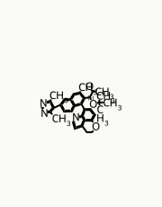 CC(=O)[C@@H](OC(C)(C)C)c1c(C)cc2cc(-c3c(C)ncnc3C)ccc2c1-c1ccc2c3c(ccnc13)CCO2